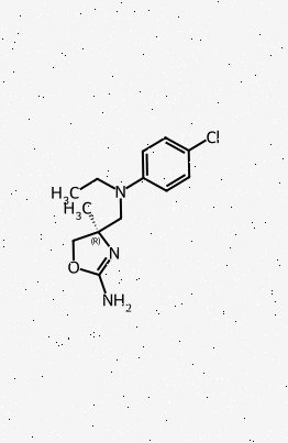 CCN(C[C@]1(C)COC(N)=N1)c1ccc(Cl)cc1